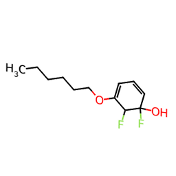 CCCCCCOC1=CC=CC(O)(F)C1F